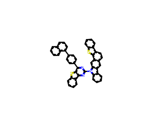 c1ccc2c(-c3ccc(-c4nc(-n5c6ccccc6c6cc7ccc8c9ccccc9sc8c7cc65)nc5c4sc4ccccc45)cc3)cccc2c1